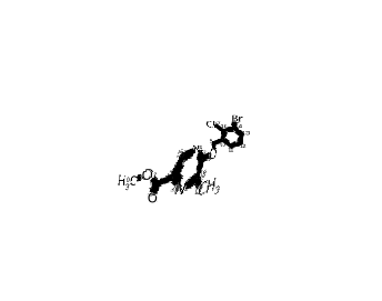 COC(=O)c1cnc(OCc2cccc(Br)c2Cl)c(C)n1